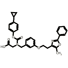 Cc1oc(-c2ccccc2)nc1CCOc1cccc(CN(CC(=O)O)C(=O)Oc2ccc(C3CC3)cc2)c1